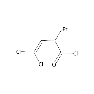 CC(C)C(C=C(Cl)Cl)C(=O)Cl